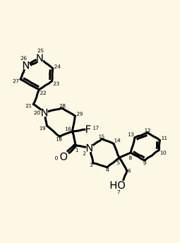 O=C(N1CCC(CO)(c2ccccc2)CC1)C1(F)CCN(Cc2ccnnc2)CC1